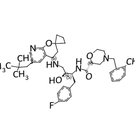 Cc1ccccc1CN1CCO[C@@H](C(=O)N[C@@H](Cc2ccc(F)cc2)[C@@H](O)CN[C@H]2CC3(CCC3)Oc3ncc(CC(C)(C)C)cc32)C1